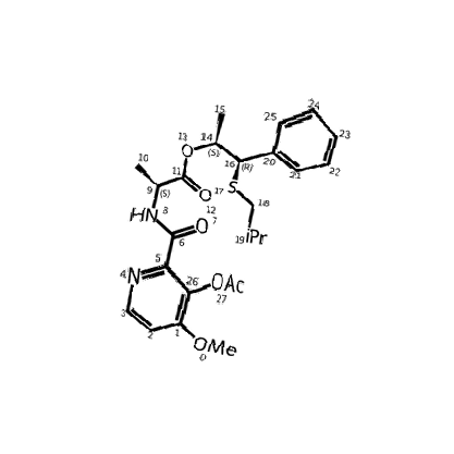 COc1ccnc(C(=O)N[C@@H](C)C(=O)O[C@@H](C)[C@H](SCC(C)C)c2ccccc2)c1OC(C)=O